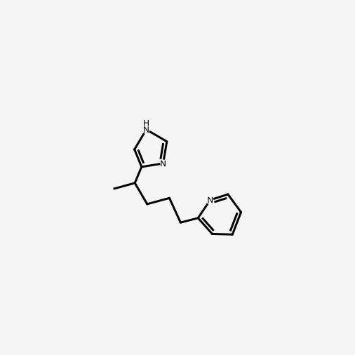 CC(CCCc1ccccn1)c1c[nH]cn1